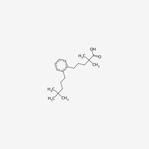 CC(C)(C)CCCc1ccccc1CCCC(C)(C)C(=O)O